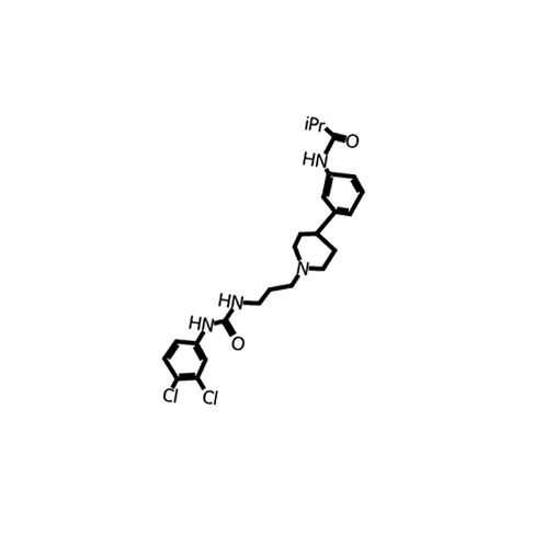 CC(C)C(=O)Nc1cccc(C2CCN(CCCNC(=O)Nc3ccc(Cl)c(Cl)c3)CC2)c1